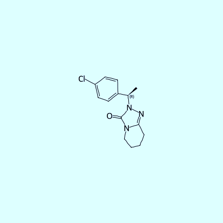 C[C@H](c1ccc(Cl)cc1)n1nc2n(c1=O)CCCC2